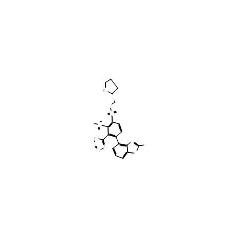 Nc1nc2c(-c3ccc(S(=O)(=O)NC[C@@H]4CCCN4)c(S(N)(=O)=O)c3-c3nnn[nH]3)cccc2s1